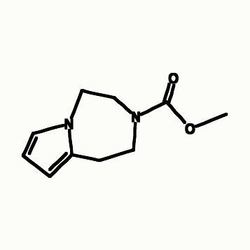 COC(=O)N1CCc2cccn2CC1